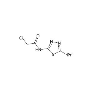 CC(C)c1nnc(NC(=O)CCl)s1